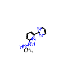 CNNc1cccc(-c2ncccn2)n1